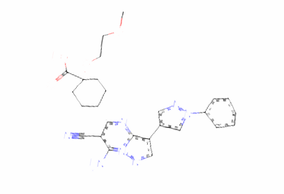 COCCO[C@]1(C(=O)O)CC[C@H](c2nc3c(-c4cnn(-c5ccccc5)c4)cnn3c(N)c2C#N)CC1